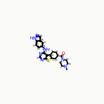 CN1CCN(C(=O)[C@@H]2CCc3c(sc4ncnc(Nc5ccc6[nH]ncc6c5)c34)C2)CC1